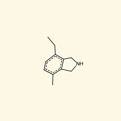 CCc1ccc(C)c2c1CNC2